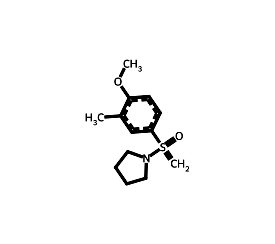 C=S(=O)(c1ccc(OC)c(C)c1)N1CCCC1